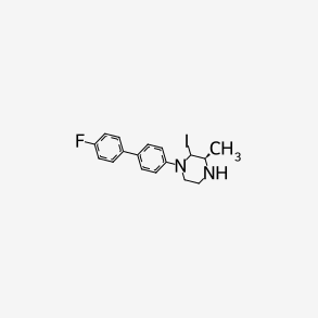 C[C@H]1NCCN(c2ccc(-c3ccc(F)cc3)cc2)C1I